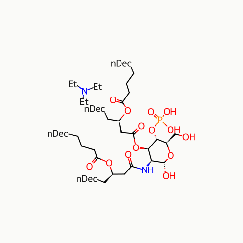 CCCCCCCCCCCCCC(=O)O[C@H](CCCCCCCCCCC)CC(=O)N[C@H]1[C@@H](OC(=O)C[C@@H](CCCCCCCCCCC)OC(=O)CCCCCCCCCCCCC)[C@H](OP(=O)(O)O)[C@@H](CO)O[C@@H]1O.CCN(CC)CC